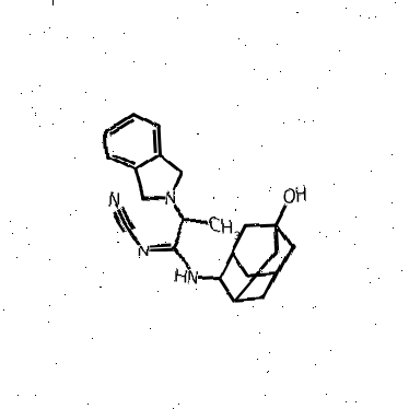 CC(/C(=N\C#N)NC1C2CC3CC1CC(O)(C3)C2)N1Cc2ccccc2C1